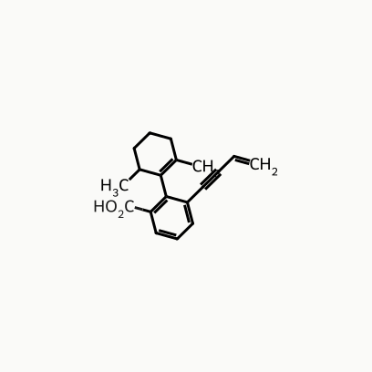 C=CC#Cc1cccc(C(=O)O)c1C1=C(C)CCCC1C